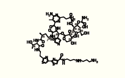 Cc1c(N)nc(CCC(N)=O)nc1C(=O)N[C@H](C(=O)N[C@H](C)C[C@H](C)C(=O)NC(C(=O)NCCc1nc(-c2nc(C(=O)NCCCNCCCCN)cs2)cs1)[C@@H](C)O)[C@@H](O[C@@H]1OC[C@@H](O)[C@H](O)[C@@H]1O[C@H]1O[C@H](CO)[C@@H](O)[C@H](OC(N)=O)[C@@H]1O)c1cnc[nH]1